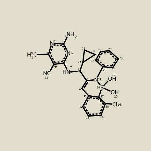 Cc1nc(N)nc(N[C@H](C2=Cc3cccc(Cl)c3S(O)(O)N2c2ccccc2)C2CC2)c1C#N